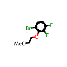 COCCOc1c(Br)ccc(F)c1F